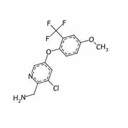 COc1ccc(Oc2cnc(CN)c(Cl)c2)c(C(F)(F)F)c1